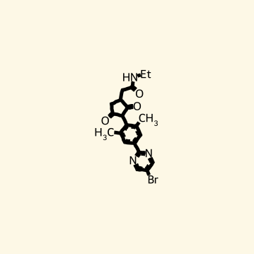 CCNC(=O)CC1CC(=O)C(c2c(C)cc(-c3ncc(Br)cn3)cc2C)C1=O